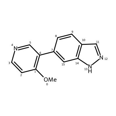 COc1ccncc1-c1ccc2cn[nH]c2c1